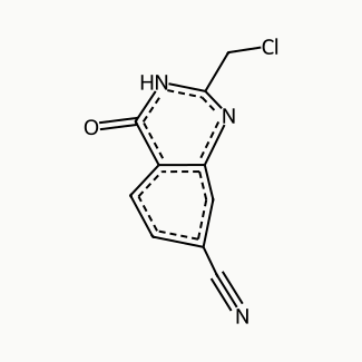 N#Cc1ccc2c(=O)[nH]c(CCl)nc2c1